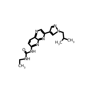 CCNC(=O)Nc1ccc2ncc(-c3cnn(CC(C)C)c3)nc2n1